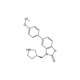 O=c1oc2ccc(-c3ccc(OC(F)(F)F)cc3)cc2n1C[C@H]1CCNC1